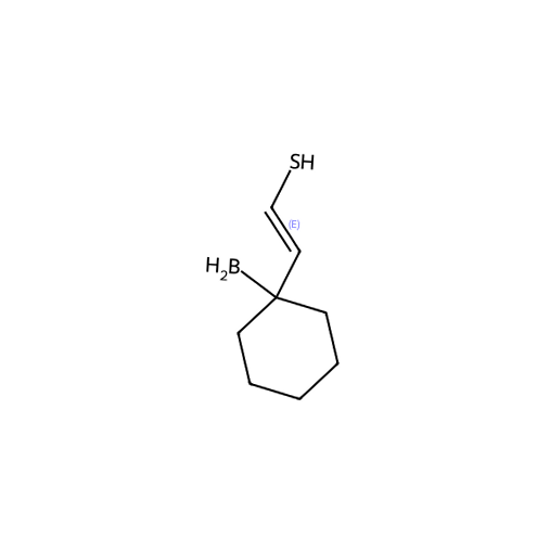 BC1(/C=C/S)CCCCC1